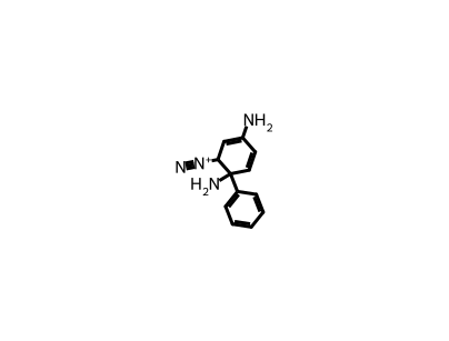 N#[N+]C1C=C(N)C=CC1(N)c1ccccc1